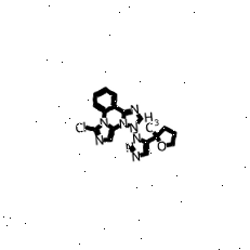 CC1(c2cnnn2N2CN=C3c4ccccc4-n4c(cnc4Cl)N32)CCCO1